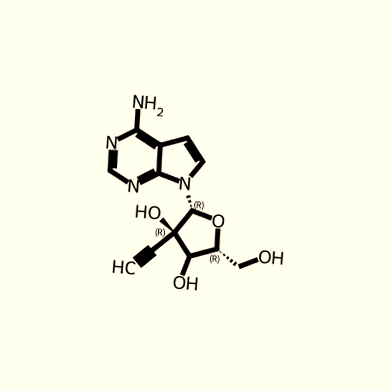 C#C[C@@]1(O)C(O)[C@@H](CO)O[C@H]1n1ccc2c(N)ncnc21